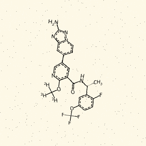 [2H]C([2H])([2H])Oc1ncc(-c2ccn3nc(N)nc3c2)cc1C(=O)N[C@H](C)c1cc(OC(F)(F)F)ccc1F